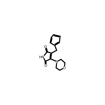 O=C1NC(=O)C(N2CCOCC2)=C1Cc1ccccc1